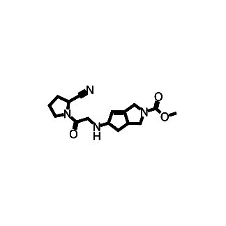 COC(=O)N1CC2=CC(NCC(=O)N3CCCC3C#N)CC2C1